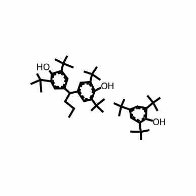 CC(C)(C)c1cc(C(C)(C)C)c(O)c(C(C)(C)C)c1.CCCC(c1cc(C(C)(C)C)c(O)c(C(C)(C)C)c1)c1cc(C(C)(C)C)c(O)c(C(C)(C)C)c1